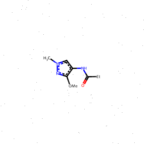 CCC(=O)Nc1cn(C)nc1OC